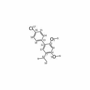 COc1cc(OC)c(C(C)C)cc1-c1ccc(Cl)cc1